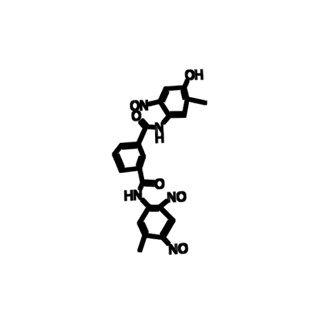 Cc1cc(NC(=O)c2cccc(C(=O)Nc3cc(C)c(N=O)cc3N=O)c2)c(N=O)cc1O